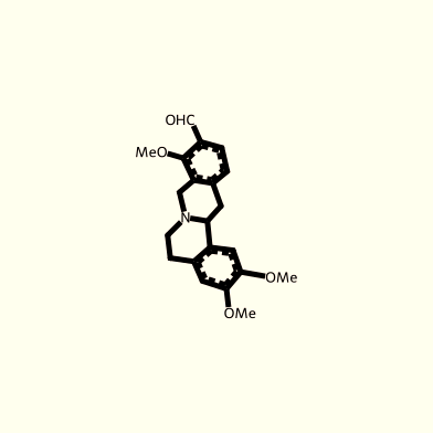 COc1cc2c(cc1OC)C1Cc3ccc(C=O)c(OC)c3CN1CC2